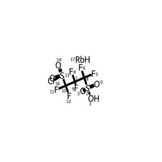 O=S(=O)(O)C(F)(F)C(F)(F)C(F)(F)S(=O)(=O)Cl.[RbH]